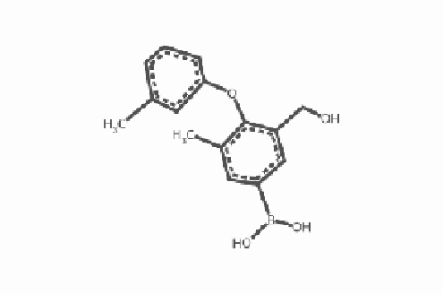 Cc1cccc(Oc2c(C)cc(B(O)O)cc2CO)c1